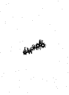 CCn1c(-c2ccco2)cnc1SCC(=O)Nc1ccc2c(c1)c1ccccc1n2CC